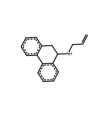 C=CCNC1Cc2ccccc2-c2ccccc21